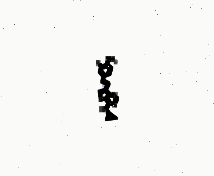 Nc1ccc(/C=C/c2csc3c(NC4CC4)ncnc23)cc1F